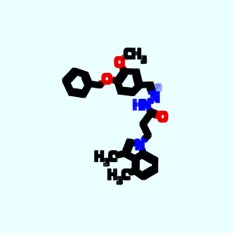 COc1cc(/C=N\NC(=O)CCn2cc(C)c3c(C)cccc32)ccc1OCc1ccccc1